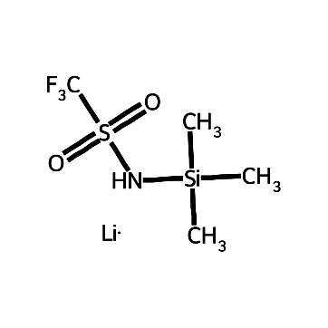 C[Si](C)(C)NS(=O)(=O)C(F)(F)F.[Li]